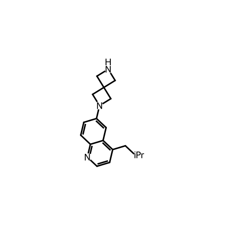 CC(C)Cc1ccnc2ccc(N3CC4(CNC4)C3)cc12